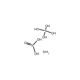 O=[Si](O)O.O[Si](O)(O)O.[SrH2]